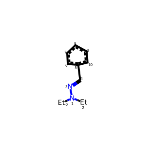 CCN(CC)N=Cc1ccccc1